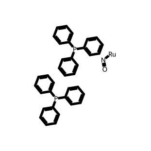 O=[N][Ru].c1ccc(P(c2ccccc2)c2ccccc2)cc1.c1ccc(P(c2ccccc2)c2ccccc2)cc1